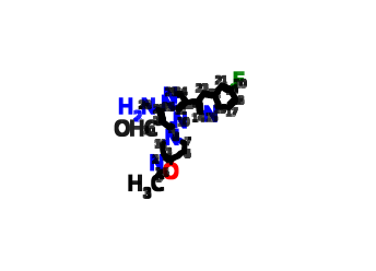 Cc1nc2c(o1)CCN(c1nc3c(-c4cnc5ccc(F)cc5c4)cnn3c(N)c1C=O)C2